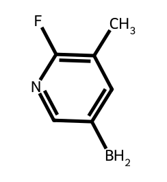 Bc1cnc(F)c(C)c1